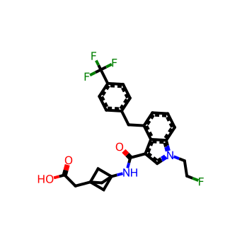 O=C(O)CC12CC(NC(=O)c3cn(CCF)c4cccc(Cc5ccc(C(F)(F)F)cc5)c34)(C1)C2